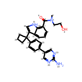 CN(CCO)C(=O)c1cccc2c(C3(c4ccc(-c5cnc(N)nc5)cc4)CCC3)c[nH]c12